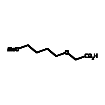 COCCCCOCC(=O)O